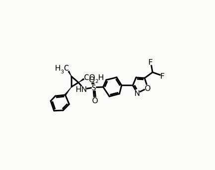 C[C@@H]1[C@H](c2ccccc2)[C@]1(NS(=O)(=O)c1ccc(-c2cc(C(F)F)on2)cc1)C(=O)O